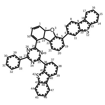 C1=CC2Oc3c(-c4ccc5c(c4)sc4ccccc45)cccc3C2C(c2nc(-c3ccccc3)nc(-c3cccc4c3sc3ccccc34)n2)=C1